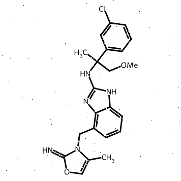 COCC(C)(Nc1nc2c(Cn3c(C)coc3=N)cccc2[nH]1)c1cccc(Cl)c1